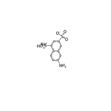 Nc1ccc2c(S(=O)(=O)O)cc(S(=O)(=O)[O-])cc2c1.[Na+]